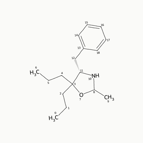 CCCC1(CCC)OC(C)N[C@H]1Cc1ccccc1